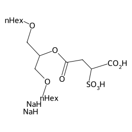 CCCCCCOCC(COCCCCCC)OC(=O)CC(C(=O)O)S(=O)(=O)O.[NaH].[NaH]